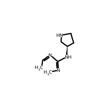 C/C=N\C(=N/C)N[C@@H]1CCNC1